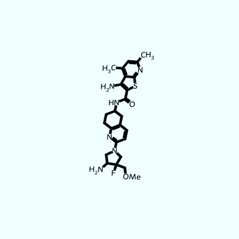 COCC1(F)CN(c2ccc3c(n2)CCC(NC(=O)c2sc4nc(C)cc(C)c4c2N)C3)CC1N